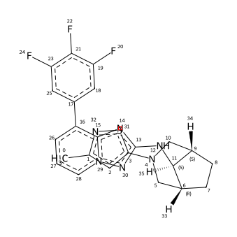 Cc1cc(N2C[C@H]3CC[C@@H](C2)[C@@H]3Nc2nc3c(-c4cc(F)c(F)c(F)c4)cccn3n2)sn1